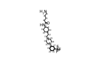 NCCCCC(=O)NC1CCC(CCN2CCN(c3cccc(C(F)(F)F)c3)CC2)CC1